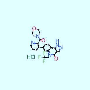 Cl.O=C(c1ncccc1-c1ccc2c3[nH]ncc3c(=O)n(CC(F)(F)F)c2c1)N1CCOCC1